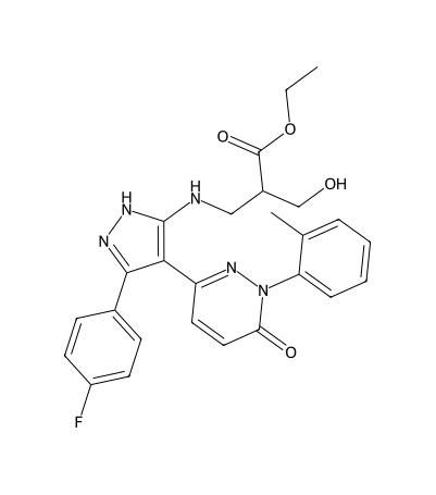 CCOC(=O)C(CO)CNc1[nH]nc(-c2ccc(F)cc2)c1-c1ccc(=O)n(-c2ccccc2C)n1